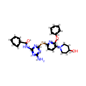 Nc1nc(NC(=O)c2ccccc2)nc(Sc2ccc(N3CCC(O)CC3)c(Oc3ccccc3)n2)n1